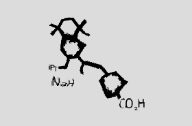 CC(=Cc1ccc(C(=O)O)cc1)c1cc2c(cc1CC(C)C)C(C)(C)CCC2(C)C.[NaH]